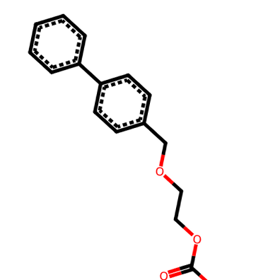 O=C(O)OCCOCc1ccc(-c2ccccc2)cc1